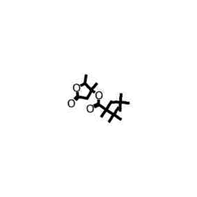 CC1OC(=O)CC1(C)OC(=O)C(C)(CC(C)(C)C)C(C)(C)C